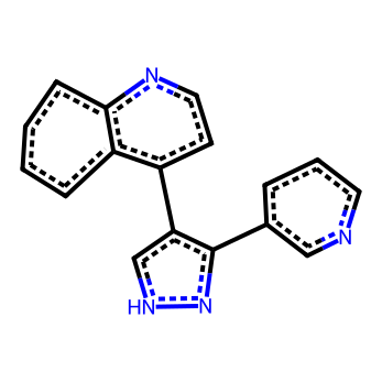 c1cncc(-c2n[nH]cc2-c2ccnc3ccccc23)c1